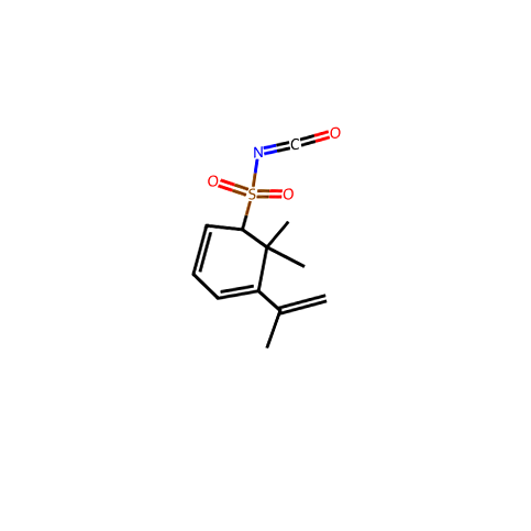 C=C(C)C1=CC=CC(S(=O)(=O)N=C=O)C1(C)C